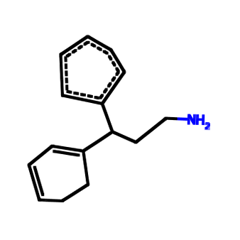 NCCC(C1=CC=CCC1)c1ccccc1